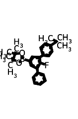 CC(C)(C)c1ccc(-c2cc(B3OC(C)(C)C(C)(C)O3)cc(-c3ccccc3)c2F)cc1